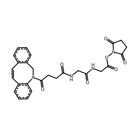 O=C(CCC(=O)N1Cc2ccccc2/C=C\c2ccccc21)NCC(=O)NCC(=O)ON1C(=O)CCC1=O